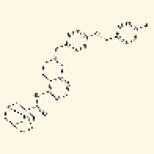 O=C(Nc1ncnc2c1CCN(Cc1ccc(OCc3ccc(F)cc3)cc1)C2)C12CC3CC(CC(C3)C1)C2